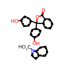 O=C(O)n1ccc2ccccc21.O=C1OC(c2ccc(O)cc2)(c2ccc(O)cc2)c2ccccc21